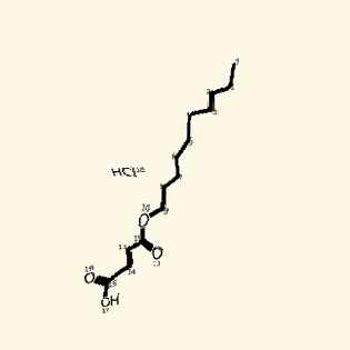 CCCCCCCCCCOC(=O)C=CC(=O)O.Cl